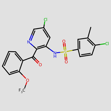 Cc1cc(S(=O)(=O)Nc2cc(Cl)cnc2C(=O)c2ccccc2OC(F)(F)F)ccc1Cl